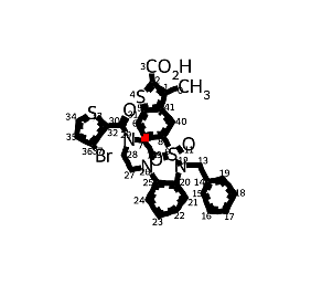 Cc1c(C(=O)O)sc2ccc(S(=O)(=O)N(Cc3ccccc3)c3ccccc3N3CCN(C(=O)c4sccc4Br)CC3)cc12